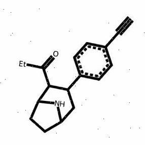 C#Cc1ccc(C2CC3CCC(N3)C2C(=O)CC)cc1